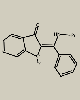 CC(C)NC(=C1C(=O)c2ccccc2[S+]1[O-])c1ccccc1